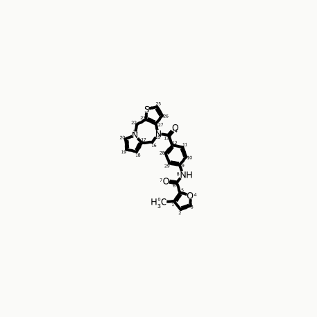 Cc1ccoc1C(=O)Nc1ccc(C(=O)N2Cc3cccn3Cc3sccc32)cc1